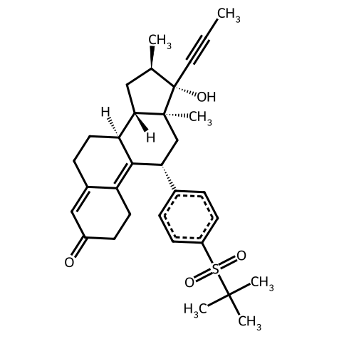 CC#C[C@]1(O)[C@H](C)C[C@H]2[C@@H]3CCC4=CC(=O)CCC4=C3[C@@H](c3ccc(S(=O)(=O)C(C)(C)C)cc3)C[C@@]21C